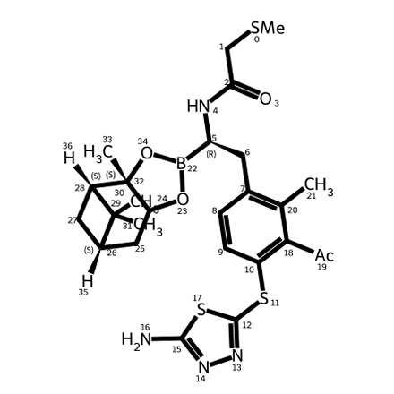 CSCC(=O)N[C@@H](Cc1ccc(Sc2nnc(N)s2)c(C(C)=O)c1C)B1OC2C[C@@H]3C[C@@H](C3(C)C)[C@]2(C)O1